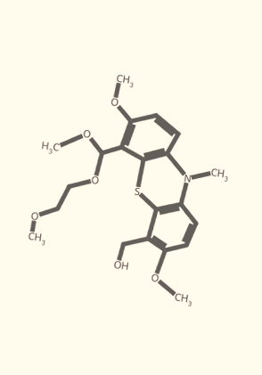 COCCOC(OC)c1c(OC)ccc2c1Sc1c(ccc(OC)c1CO)N2C